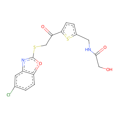 O=C(CO)NCc1ccc(C(=O)CSc2nc3cc(Cl)ccc3o2)s1